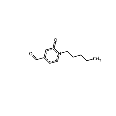 CCCCCn1ccc(C=O)cc1=O